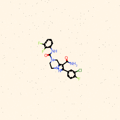 NC(=O)c1c(-c2ccc(F)c(Cl)c2)nn2c1CN(C(=O)Nc1cccc(F)c1F)CC2